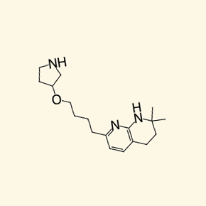 CC1(C)CCc2ccc(CCCCOC3CCNC3)nc2N1